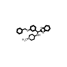 CN1CCC(NC(c2cccc(SCc3ccccc3)c2)c2nc3ccccc3s2)CC1